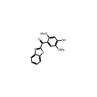 COc1cc(C(=O)c2nc3ccccc3s2)c(OC)cc1O